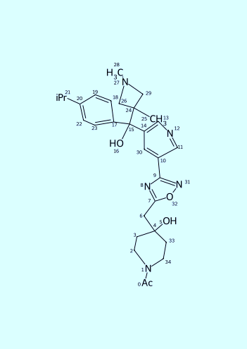 CC(=O)N1CCC(O)(Cc2nc(-c3cncc(C(O)(c4ccc(C(C)C)cc4)C4(C)CN(C)C4)c3)no2)CC1